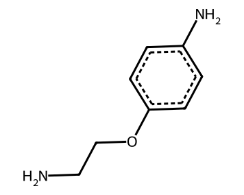 NCCOc1ccc(N)cc1